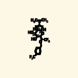 CN(C)C1=N[C@@H]2[C@@H](O)[C@H](O)C([C@@H](OCc3ccc(C(F)(F)F)cc3)C(F)(F)F)O[C@@H]2S1